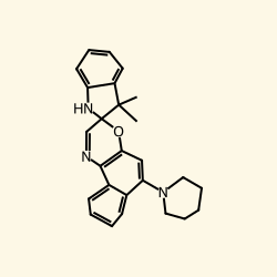 CC1(C)c2ccccc2NC12C=Nc1c(cc(N3CCCCC3)c3ccccc13)O2